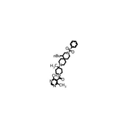 CCCCC1CN(S(=O)(=O)c2ccccc2)CCC12CCN(C1(C)CCN(C(=O)c3c(C)ncnc3C)CC1)CC2